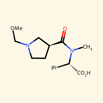 COCN1CC[C@H](C(=O)N(C)[C@H](C(=O)O)C(C)C)C1